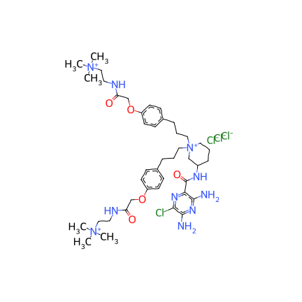 C[N+](C)(C)CCNC(=O)COc1ccc(CCC[N+]2(CCCc3ccc(OCC(=O)NCC[N+](C)(C)C)cc3)CCCC(NC(=O)c3nc(Cl)c(N)nc3N)C2)cc1.[Cl-].[Cl-].[Cl-]